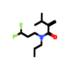 C=C(C(=O)N(CCC)CCC(F)F)C(C)C